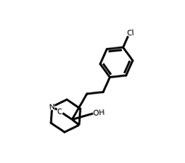 OC1(CCc2ccc(Cl)cc2)CN2CCC1CC2